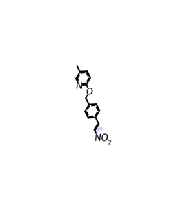 Cc1ccc(OCc2ccc(/C=C/[N+](=O)[O-])cc2)nc1